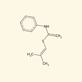 C=C(Nc1ccccc1)SC=C(C)C